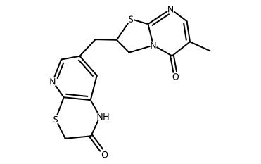 Cc1cnc2n(c1=O)CC(Cc1cnc3c(c1)NC(=O)CS3)S2